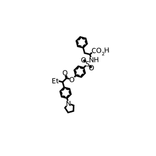 CCC(C(=O)Oc1ccc(S(=O)(=O)NC(Cc2ccccc2)C(=O)O)cc1)c1ccc(N2CCCC2)cc1